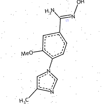 COc1cc(/C(N)=N/O)ccc1-n1cnc(C)c1